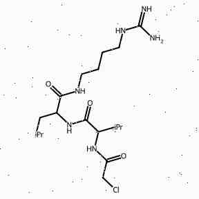 CC(C)CC(NC(=O)C(NC(=O)CCl)C(C)C)C(=O)NCCCCNC(=N)N